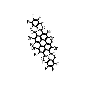 O=C1c2c(Br)c(Br)c3c4c(Br)c(Br)c5c6c(c(Br)c(Br)c(c7c(Br)c(Br)c(c2c37)C(=O)N1c1c(F)c(F)c(F)c(F)c1F)c64)C(=O)N(c1c(F)c(F)c(F)c(F)c1F)C5=O